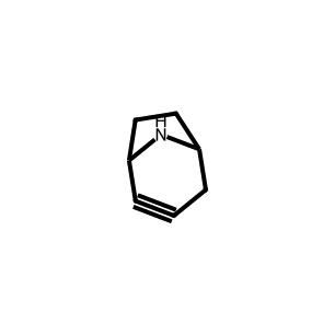 C1#CC2CCC(C1)N2